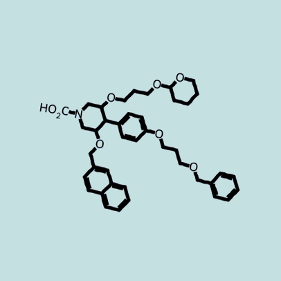 O=C(O)N1CC(OCCCOC2CCCCO2)C(c2ccc(OCCCOCc3ccccc3)cc2)C(OCc2ccc3ccccc3c2)C1